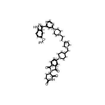 CC(C)Oc1ccc2[nH]nc(-c3cc(N4CCN(CC[C@@H]5CCN(CC6CCN(c7ccc8c(c7)C(=O)N(C7CCC(=O)NC7=O)C8=O)CC6)C5)CC4)ncn3)c2c1